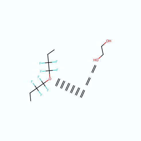 C=C.C=C.C=C.C=C.C=C.C=C.C=C.C=C.CCC(F)(F)C(F)(F)OC(F)(F)C(F)(F)CC.OCCO